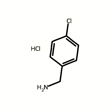 Cl.NCc1ccc(Cl)cc1